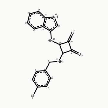 CCc1ccc(CNC2C(=O)C(=O)C2Nc2c[nH]c3ccccc23)cc1